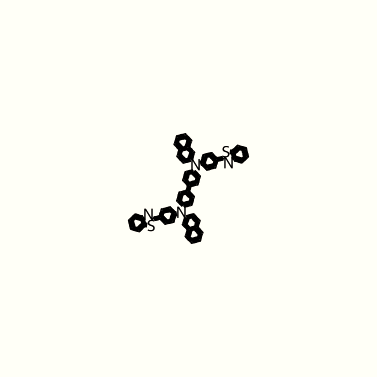 c1ccc2cc(N(c3ccc(-c4ccc(N(c5ccc(-c6nc7ccccc7s6)cc5)c5ccc6ccccc6c5)cc4)cc3)c3ccc(-c4nc5ccccc5s4)cc3)ccc2c1